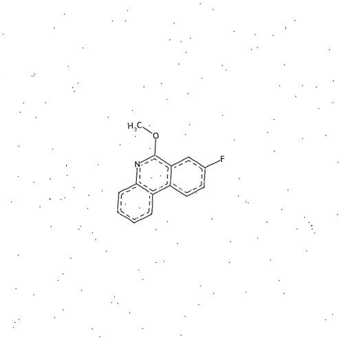 COc1nc2ccccc2c2ccc(F)cc12